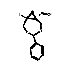 OC[C@]12COC(c3ccccc3)OC[C@@H]1C2